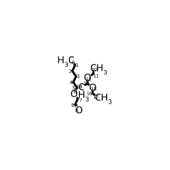 CCCCCCOCC=O.CCOC(C)OCC